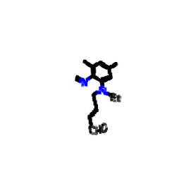 C=Nc1c(C)cc(C)cc1N(CC)CCCC=O